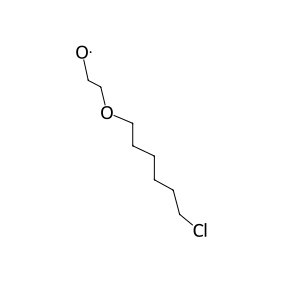 [O]CCOCCCCCCCl